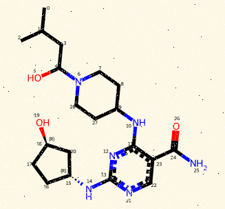 CC(C)CC(O)N1CCC(Nc2nc(N[C@@H]3CC[C@@H](O)C3)ncc2C(N)=O)CC1